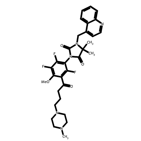 COc1c(F)c(F)c(N2C(=O)N(Cc3ccnc4ccccc34)C(C)(C)C2=O)c(F)c1C(=O)CCCN1CCN(C)CC1